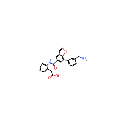 NCc1cccc(-c2cc(C(=O)Nc3ccccc3CC(=O)O)cc3ccoc23)c1